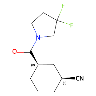 N#C[C@H]1CCC[C@@H](C(=O)N2CCC(F)(F)C2)C1